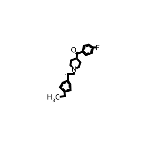 CCc1ccc([CH]CN2CCC(C(=O)c3ccc(F)cc3)CC2)cc1